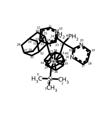 C[Si](C)(C)[C]12[CH]3[C]4(C(P)(c5ncccn5)c5ncccn5)[C]5(C6(CP)C7CC8CC(C7)CC6C8)[CH]1[Fe]34521678[CH]2[CH]1[CH]6[CH]7[CH]28